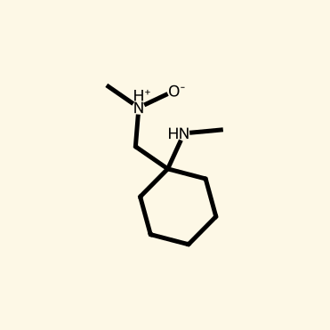 CNC1(C[NH+](C)[O-])CCCCC1